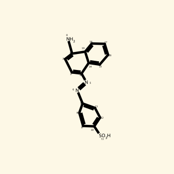 Nc1ccc(/N=N/c2ccc(S(=O)(=O)O)cc2)c2ccccc12